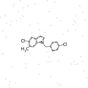 Cc1cc2c(ccn2Cc2ccc(Cl)cc2)cc1Cl